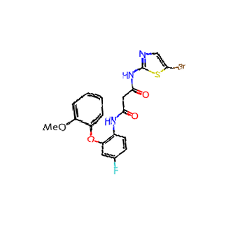 COc1ccccc1Oc1cc(F)ccc1NC(=O)CC(=O)Nc1ncc(Br)s1